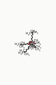 C=C[CH2][Ti](=[O])([CH2]C=C)([O]O)([O]CC(C)(C)C)([C](=O)CCCCCC(C)(C)C)([C](=O)CCCCCC(C)(C)C)[C](=O)CCCCCC(C)(C)C